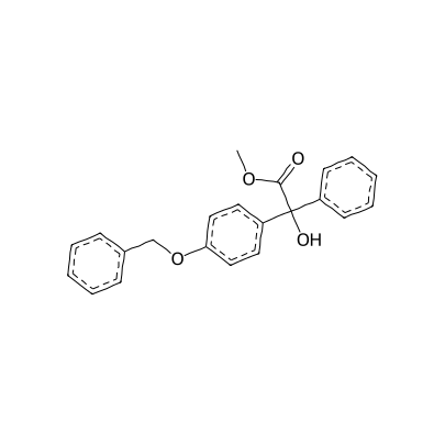 COC(=O)C(O)(c1ccccc1)c1ccc(OCc2ccccc2)cc1